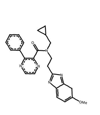 COC1=CC=C2N=C(CCN(CC3CC3)C(=O)c3nccnc3-c3ccccc3)N=C2C1